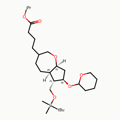 CC(C)OC(=O)CCCC1CC[C@@H]2[C@@H](CO[Si](C)(C)C(C)(C)C)[C@H](OC3CCCCO3)C[C@@H]2OC1